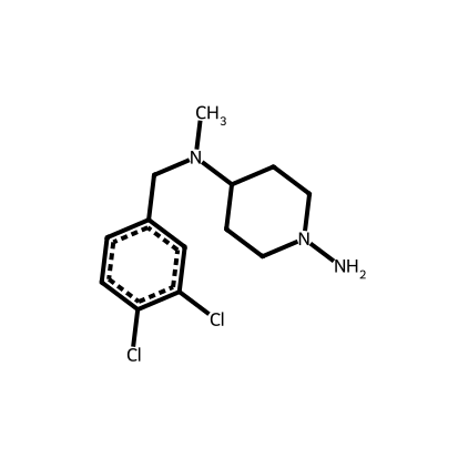 CN(Cc1ccc(Cl)c(Cl)c1)C1CCN(N)CC1